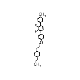 CCCC1CCC(CCCOc2ccc(-c3ccc(-c4ccc(C)cc4)c(F)c3F)cc2)CC1